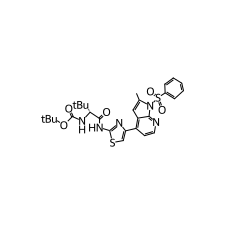 Cc1cc2c(-c3csc(NC(=O)[C@H](NC(=O)OC(C)(C)C)C(C)(C)C)n3)ccnc2n1S(=O)(=O)c1ccccc1